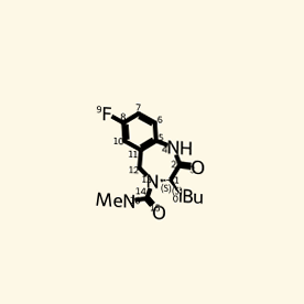 CC[C@H](C)[C@H]1C(=O)Nc2ccc(F)cc2CN1C(=O)NC